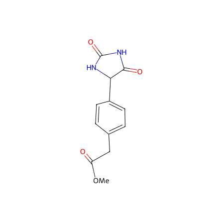 COC(=O)Cc1ccc(C2NC(=O)NC2=O)cc1